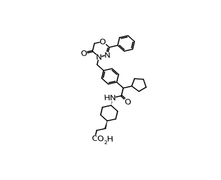 O=C(O)CC[C@H]1CC[C@H](NC(=O)C(c2ccc(CN3N=C(c4ccccc4)OCC3=O)cc2)C2CCCC2)CC1